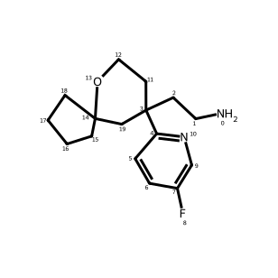 NCCC1(c2ccc(F)cn2)CCOC2(CCCC2)C1